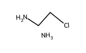 N.NCCCl